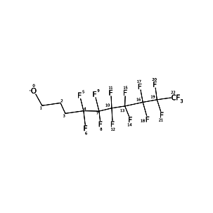 [O]CCCC(F)(F)C(F)(F)C(F)(F)C(F)(F)C(F)(F)C(F)(F)C(F)(F)F